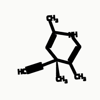 C#C[C@@]1(C)C=C(C)NC=C1C